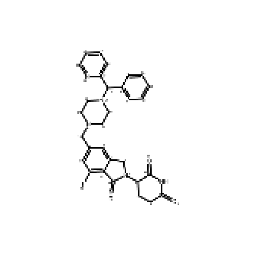 O=C1CCC(N2Cc3cc(CN4CCN(C(c5ccccc5)c5ccccn5)CC4)cc(F)c3C2=O)C(=O)N1